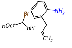 C=CCc1ccccc1N.CCCCCCCCC(Br)CCC